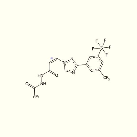 CCCC(=O)NNC(=O)/C=C\n1cnc(-c2cc(C(F)(F)F)cc(S(F)(F)(F)(F)F)c2)n1